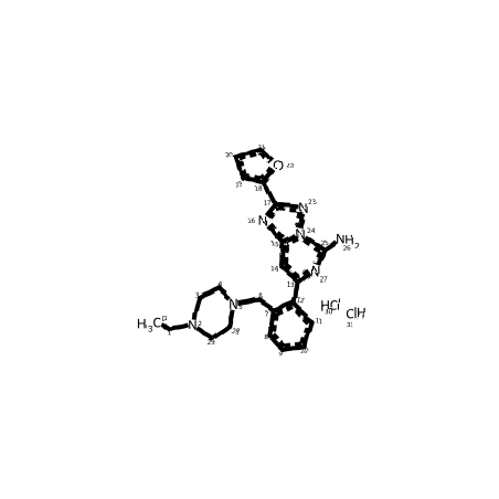 CCN1CCN(Cc2ccccc2-c2cc3nc(-c4ccco4)nn3c(N)n2)CC1.Cl.Cl